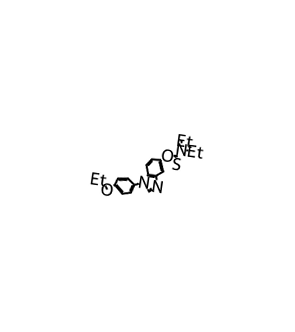 CCOc1ccc(-n2cnc3cc(OC(=S)N(CC)CC)ccc32)cc1